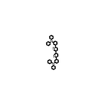 c1ccc(N(c2ccccc2)c2cccc(-c3ccc(-c4ccc(-c5cccc(N(c6ccccc6)c6ccccc6)c5)nc4)cn3)c2)cc1